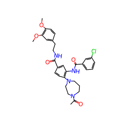 COc1ccc(CCNC(=O)c2ccc(N3CCCN(C(C)=O)CC3)c(NC(=O)c3cccc(Cl)c3)c2)cc1OC